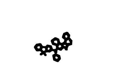 CC1(C)c2ccccc2-c2ccc(N(c3ccccc3)c3cc4sc5ccc6ccccc6c5c4c4ccccc34)cc21